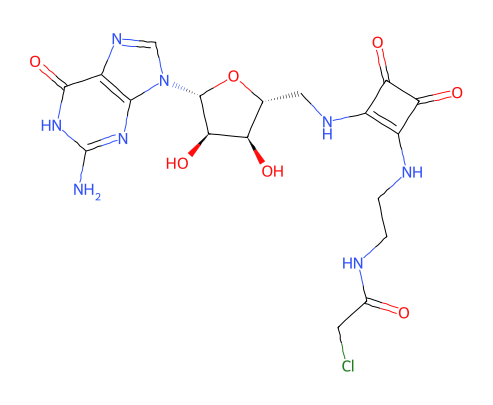 Nc1nc2c(ncn2[C@@H]2O[C@H](CNc3c(NCCNC(=O)CCl)c(=O)c3=O)[C@@H](O)[C@H]2O)c(=O)[nH]1